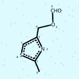 Cc1nc(CO[C]=O)cs1